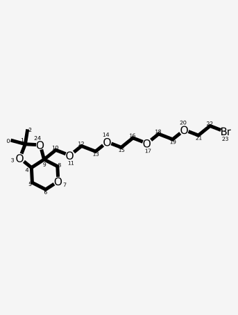 CC1(C)OC2CCOCC2(COCCOCCOCCOCCBr)O1